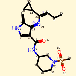 C=C1NC=C(C(=O)NC2CCCN(S(C)(=O)=O)C2)/C1=N/C(=C\CC)C1CC1